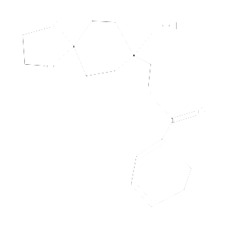 CCOC(=O)C1(COC(=O)C2=CC=CCC2)CCC2(CC1)OCCO2